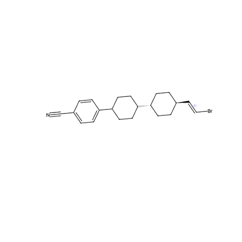 N#Cc1ccc(C2CCC([C@H]3CC[C@H](/C=C/Br)CC3)CC2)cc1